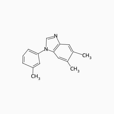 Cc1cccc(-n2cnc3cc(C)c(C)cc32)c1